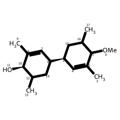 COC1C(C)=C[C@@H](C2C=C(C)[C@H](O)C(C)C2)CC1C